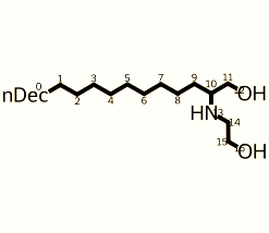 CCCCCCCCCCCCCCCCCCCC(CO)NCCO